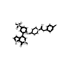 Cc1ccc(CC(=O)N2CCC(Nc3ccc(S(C)(=O)=O)cc3-c3cn(C)c(=O)c4[nH]ccc34)CC2)cc1